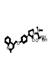 Cc1cc(COc2ccc([C@H]3CCN([C@@H](C(=O)NO)N(C)C)C3=O)cc2)c2ccccc2n1